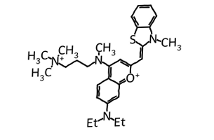 CCN(CC)c1ccc2c(N(C)CCC[N+](C)(C)C)cc(/C=C3\Sc4ccccc4N3C)[o+]c2c1